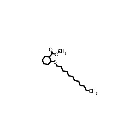 CCCCCCCCCCCCSC1CCCCC1C(=O)OC